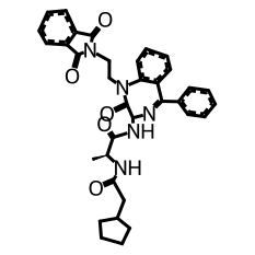 C[C@H](NC(=O)CC1CCCC1)C(=O)NC1N=C(c2ccccc2)c2ccccc2N(CCN2C(=O)c3ccccc3C2=O)C1=O